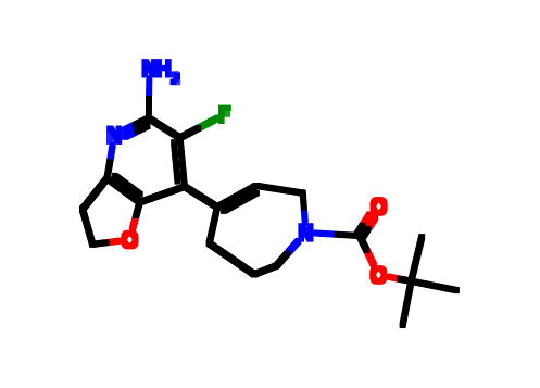 CC(C)(C)OC(=O)N1CC=C(c2c(F)c(N)nc3c2OCC3)CCC1